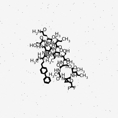 CC[C@H](C)[C@H](NC(=O)[C@@H](CCc1ccc(-c2ccccc2)cc1)NC)C(=O)N[C@@H](CO)C(=O)N[C@H](CCC(N)=O)C(=O)N[C@@H](C(=O)N[C@H](C(=O)N[C@@H](CO)C(=O)N[C@H]1C(=O)N[C@@H](C)C(=O)NC2(CC2CC(F)F)C(=O)N[C@@H]([C@@H](C)CC)C(=O)O[C@H]1C)[C@@H](C)CC)[C@@H](C)CC